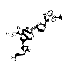 CC(C)n1cc(C2CC(=O)N(CCO)C2)c2cnc(Nc3ccnc(/C(C=N)=C/NS(=O)(=O)C4CC4)n3)cc21